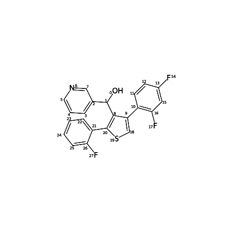 OC(c1cccnc1)c1c(-c2ccc(F)cc2F)csc1-c1ccccc1F